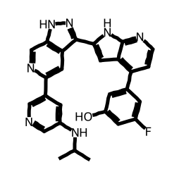 CC(C)Nc1cncc(-c2cc3c(-c4cc5c(-c6cc(O)cc(F)c6)ccnc5[nH]4)n[nH]c3cn2)c1